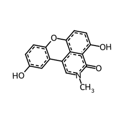 Cn1cc2c3c(ccc(O)c3c1=O)Oc1ccc(O)cc1-2